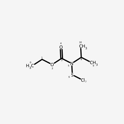 CCOC(=O)N(SCl)C(C)C